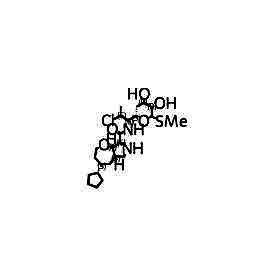 CSC1O[C@H]([C@H](NC(=O)[C@H]2NC[C@@H]3C[C@H](C4CCCC4)CCO[C@H]32)[C@H](C)Cl)C[C@@H](O)[C@H]1O